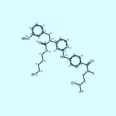 CCN(CC)CCN(C)C(=O)c1ccc(Nc2nccc(N(Cc3cccc(OC)c3)C(=O)OCCCCC(C)C)n2)cc1